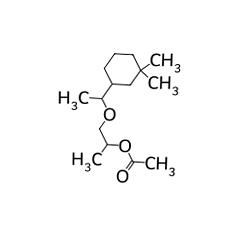 CC(=O)OC(C)COC(C)C1CCCC(C)(C)C1